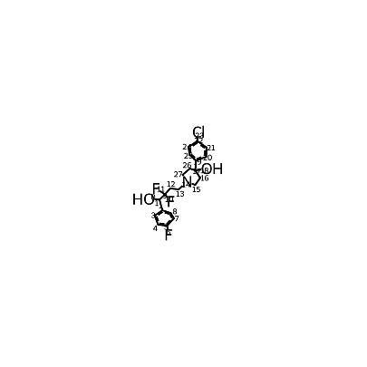 OC(c1ccc(F)cc1)C(F)(F)CCN1CCC(O)(c2ccc(Cl)cc2)CC1